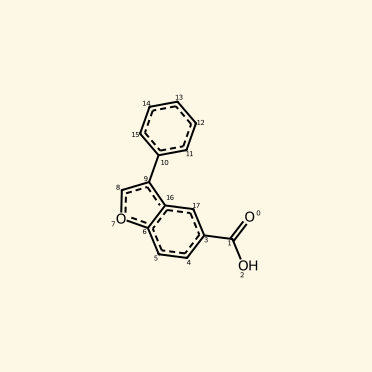 O=C(O)c1ccc2occ(-c3ccccc3)c2c1